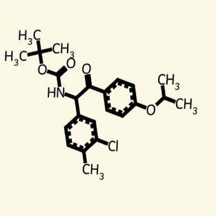 Cc1ccc(C(NC(=O)OC(C)(C)C)C(=O)c2ccc(OC(C)C)cc2)cc1Cl